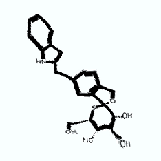 OC[C@H]1S[C@]2(OCc3ccc(Cc4cc5ccccc5[nH]4)cc32)[C@H](O)[C@@H](O)[C@@H]1O